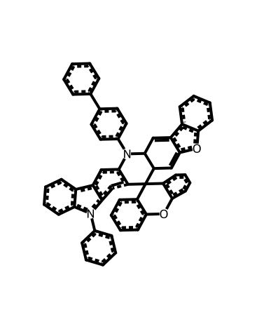 C1=c2oc3ccccc3c2=CC2C1C1(c3ccccc3Oc3ccccc31)c1cc3c(cc1N2c1ccc(-c2ccccc2)cc1)c1ccccc1n3-c1ccccc1